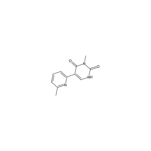 Cc1cccc(-c2c[nH]c(=O)n(C)c2=O)n1